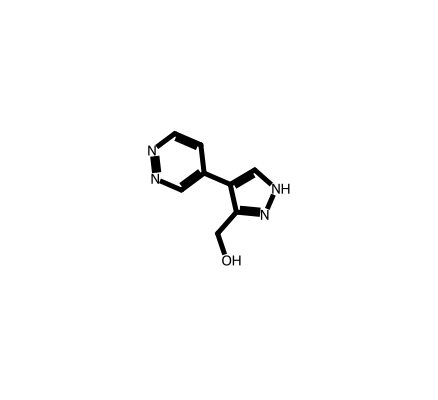 OCc1n[nH]cc1-c1ccnnc1